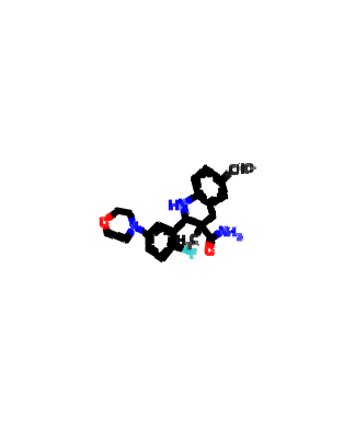 CC1(C(N)=O)Cc2cc([C]=O)ccc2NC1c1cc(N2CCOCC2)ccc1F